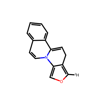 [2H]c1occ2c1CC=C1c3ccccc3C=CN12